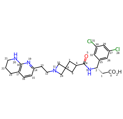 O=C(O)C[C@H](NC(=O)C1CC2(C1)CN(CCc1ccc3c(n1)NCCC3)C2)c1cc(Cl)cc(Cl)c1